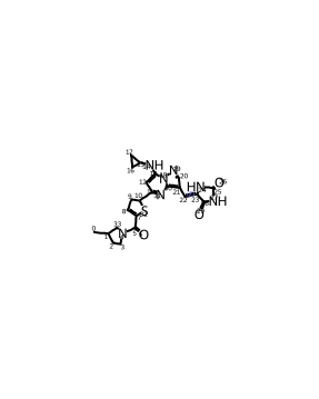 CC1CCN(C(=O)C2=CCC(c3cc(NC4CC4)n4ncc(/C=C5\NC(=O)NC5=O)c4n3)S2)C1